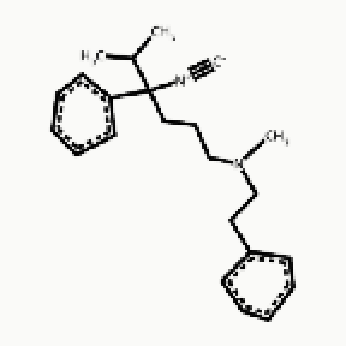 [C-]#[N+]C(CCCN(C)CCc1ccccc1)(c1ccccc1)C(C)C